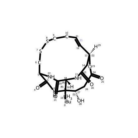 CCC(C)[C@H]1NC(=O)C2CSSCC/C=C/[C@H](CC(=O)N[C@H](C)C(=O)N2)OC(=O)C[C@@H]1O